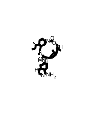 CC[C@@H](C)c1ccc2cc1CN(C)C(=O)[C@H](Nc1ccc3c(N)ncc(F)c3c1)c1ccc(c(C)c1)[C@@H](C)COC(=O)N2